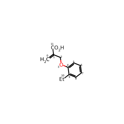 C=C(COc1ccccc1CC)C(=O)O